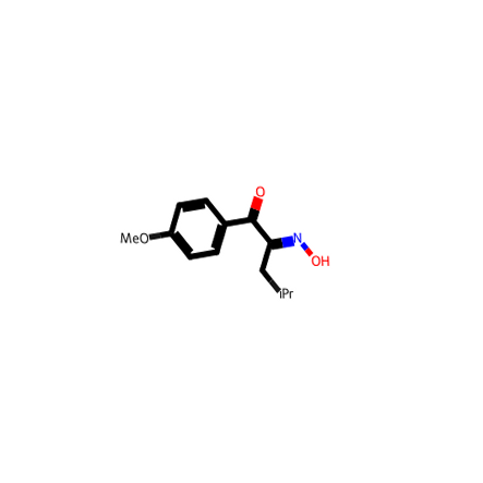 COc1ccc(C(=O)/C(CC(C)C)=N/O)cc1